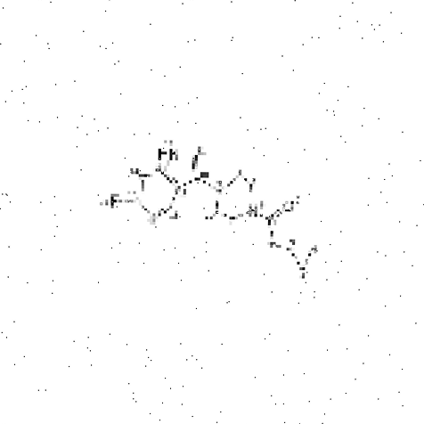 O=C(CC1CC1)N1CCC(c2c[nH]c3cc(F)ccc23)CC1